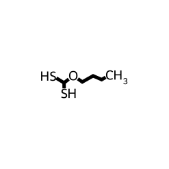 CCCCOC(S)S